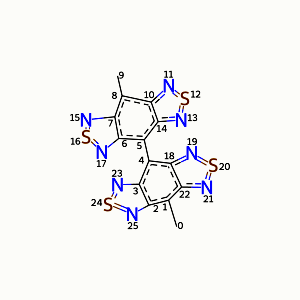 Cc1c2c(c(-c3c4c(c(C)c5nsnc35)N=S=N4)c3nsnc13)N=S=N2